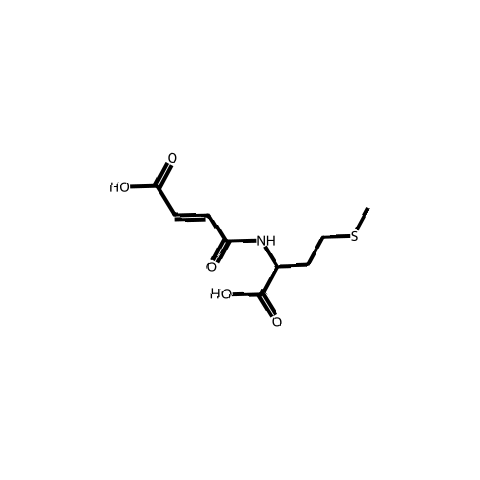 CSCCC(NC(=O)C=CC(=O)O)C(=O)O